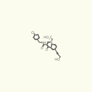 O=C(O)Cn1cc(C(=O)NCc2ccc(Cl)cc2)c(=O)c2cc(C#CCO)ccc21